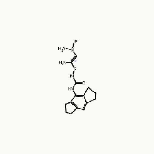 CC(C)N(N)/C=C(\N)SNC(=O)Nc1c2c(cc3c1CCC3)CCC2